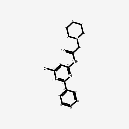 O=C(CN1CCCCC1)Nc1cc(Cl)nc(-c2ccccc2)n1